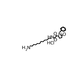 Cl.NCCCCCCCCCCCCNC(=O)C(=O)C1CCC(=O)N1Cc1ccccc1